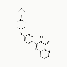 Cn1c(-c2ccc(OC3CCN(C4CCC4)CC3)cc2)nc2cccnc2c1=O